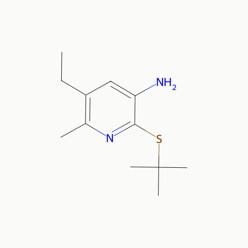 CCc1cc(N)c(SC(C)(C)C)nc1C